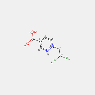 O=C(O)c1cc[n+](CC(F)F)nc1